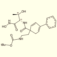 C[C@@H](O)[C@H](NC(=O)C1(CCNC(=O)OC(C)(C)C)C=CC(c2ccccc2)=CC1)C(=O)NO